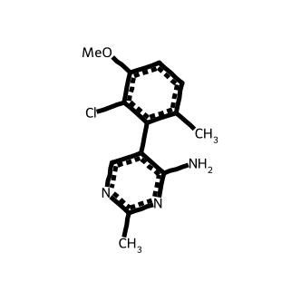 COc1ccc(C)c(-c2cnc(C)nc2N)c1Cl